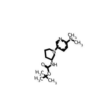 CN(C)c1ccc(N2CCC[C@H](NC(=O)OC(C)(C)C)C2)cn1